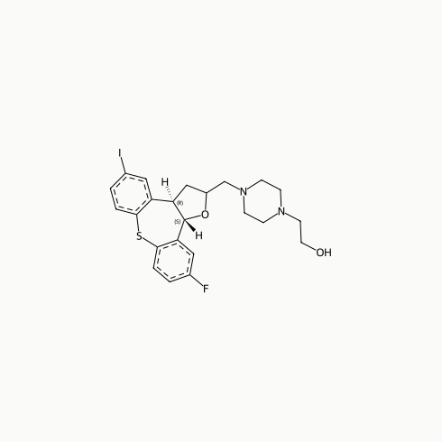 OCCN1CCN(CC2C[C@@H]3c4cc(I)ccc4Sc4ccc(F)cc4[C@H]3O2)CC1